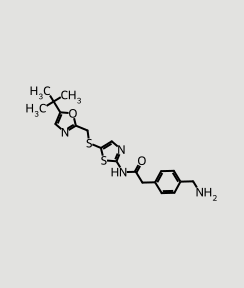 CC(C)(C)c1cnc(CSc2cnc(NC(=O)Cc3ccc(CN)cc3)s2)o1